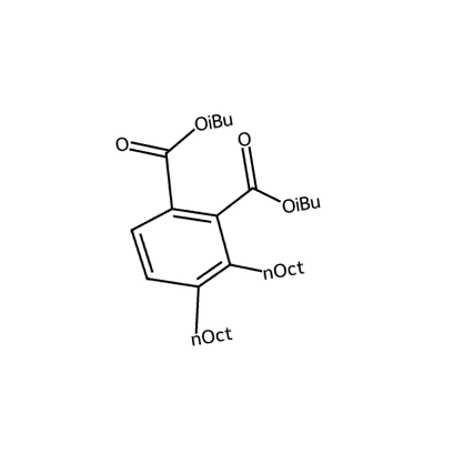 CCCCCCCCc1ccc(C(=O)OCC(C)C)c(C(=O)OCC(C)C)c1CCCCCCCC